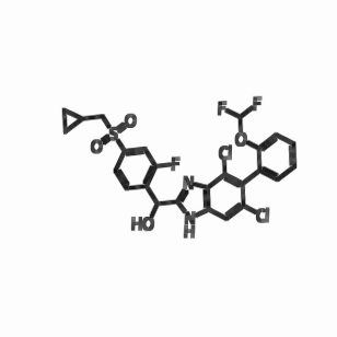 O=S(=O)(CC1CC1)c1ccc(C(O)c2nc3c(Cl)c(-c4ccccc4OC(F)F)c(Cl)cc3[nH]2)c(F)c1